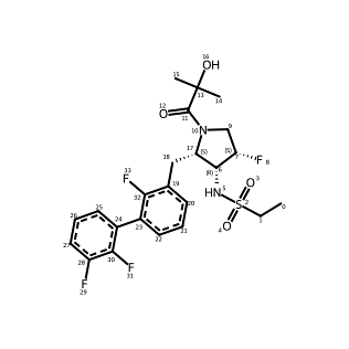 CCS(=O)(=O)N[C@H]1[C@@H](F)CN(C(=O)C(C)(C)O)[C@H]1Cc1cccc(-c2cccc(F)c2F)c1F